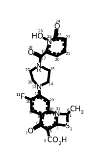 CC1Sc2c(C(=O)O)c(=O)c3cc(F)c(N4CCN(C(=O)c5cccc(=O)n5O)CC4)cc3n21